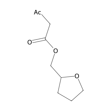 CC(=O)CC(=O)OCC1CCCO1